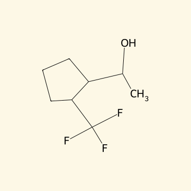 CC(O)C1CCCC1C(F)(F)F